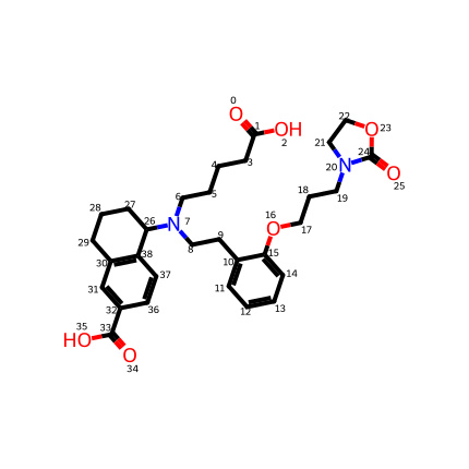 O=C(O)CCCCN(CCc1ccccc1OCCCN1CCOC1=O)C1CCCc2cc(C(=O)O)ccc21